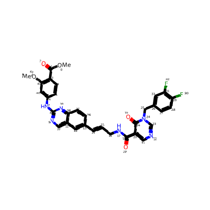 COC(=O)c1ccc(Nc2ncc3cc(/C=C/CNC(=O)c4cncn(Cc5ccc(F)c(F)c5)c4=O)ccc3n2)cc1OC